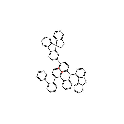 c1ccc(-c2ccccc2-c2ccccc2-c2ccccc2N(c2ccc(-c3ccc4c(c3)C3(CCc5ccccc53)c3ccccc3-4)cc2)c2cccc3oc4ccccc4c23)cc1